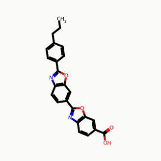 CCCc1ccc(-c2nc3ccc(-c4nc5ccc(C(=O)O)cc5o4)cc3o2)cc1